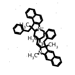 CC(C)CC[N+]1=C(/C=C/C=C2/N(C)c3cc4ccccc4cc3C2(C)Cc2ccccc2)C(C)(Cc2ccccc2)c2c1ccc1ccccc21